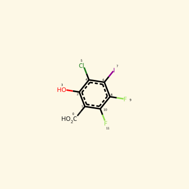 O=C(O)c1c(O)c(Cl)c(I)c(F)c1F